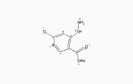 COC(=O)c1cnc(Cl)cc1NN